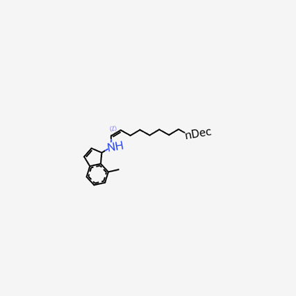 CCCCCCCCCCCCCCCC/C=C\NC1C=Cc2cccc(C)c21